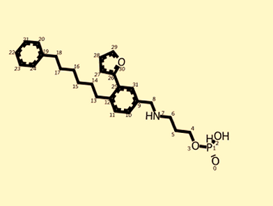 O=[PH](O)OCCCNCc1ccc(CCCCCCc2ccccc2)c(-c2ccco2)c1